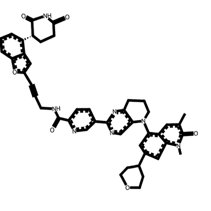 Cc1cc2c(N3CCCc4nc(-c5ccc(C(=O)NCC#Cc6cc7c([C@H]8CCC(=O)NC8=O)cccc7o6)nc5)ncc43)cc(C3CCOCC3)cc2n(C)c1=O